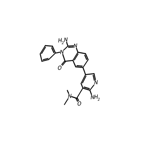 CN(C)C(=O)c1cc(-c2ccc3nc(N)n(-c4ccccc4)c(=O)c3c2)cnc1N